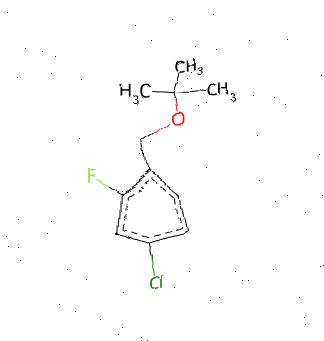 CC(C)(C)OCc1ccc(Cl)cc1F